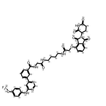 O=C(CNC(=O)c1cccc(-c2cc(Nc3ccc(OC(F)(F)F)cc3)ncn2)c1)NCCCCNC(=O)COc1cccc2c1C(=O)N(C1CCC(=O)NC1=O)C2=O